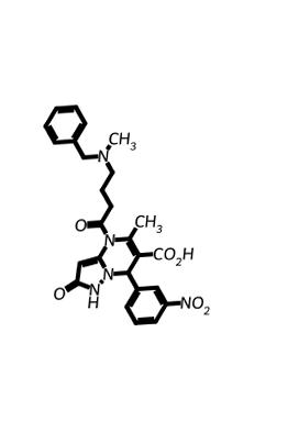 CC1=C(C(=O)O)C(c2cccc([N+](=O)[O-])c2)n2[nH]c(=O)cc2N1C(=O)CCCN(C)Cc1ccccc1